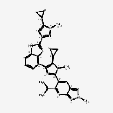 CC(C)c1nc2nn(C)cc2cc1-c1nc(-c2cccc3[nH]c(-c4cc(C5CC5)n(C)n4)nc23)c(C2CC2)n1C